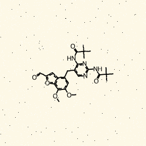 COc1cc(Cc2cnc(NC(=O)C(C)(C)C)nc2NC(=O)C(C)(C)C)c2cc(C=O)oc2c1OC